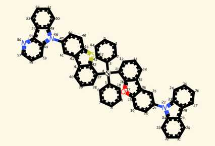 c1ccc([Si](c2ccccc2)(c2cccc3c2oc2ccc(-n4c5ccccc5c5ccccc54)cc23)c2cccc3c2sc2ccc(-n4c5ccccc5c5ncccc54)cc23)cc1